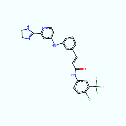 O=C(/C=C/c1cccc(Nc2ccnc(C3=NCCN3)c2)c1)Nc1ccc(Cl)c(C(F)(F)F)c1